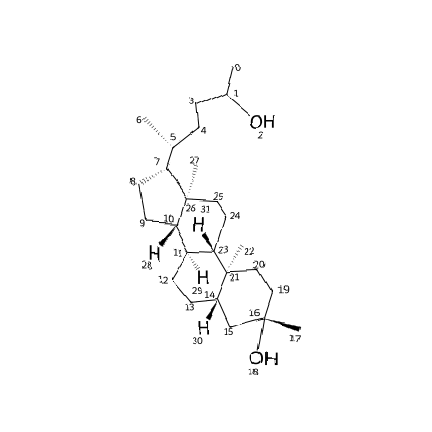 CC(O)CC[C@@H](C)[C@H]1CC[C@H]2[C@@H]3CC[C@H]4C[C@@](C)(O)CC[C@]4(C)[C@H]3CC[C@]12C